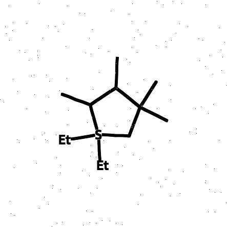 CCS1(CC)CC(C)(C)C(C)C1C